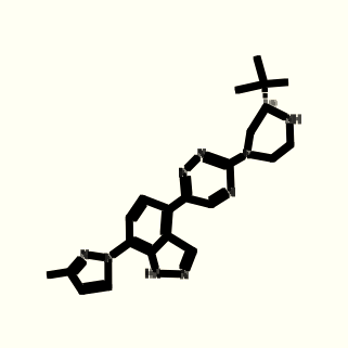 Cc1ccn(-c2ccc(-c3cnc(N4CCN[C@@H](C(C)(C)C)C4)nn3)c3cn[nH]c23)n1